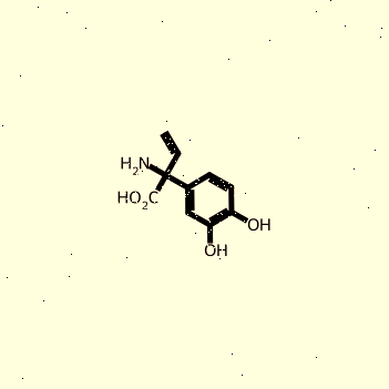 C=CC(N)(C(=O)O)c1ccc(O)c(O)c1